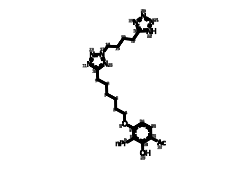 CCCc1c(OCCCCCCc2nnn(CCCCc3nnn[nH]3)n2)ccc(C(C)=O)c1O